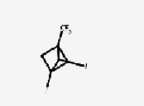 FC(F)(F)C12CC(I)(C1)C2I